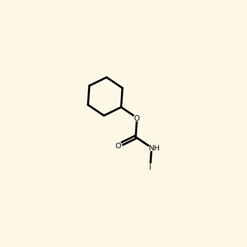 O=C(NI)OC1CCCCC1